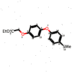 CCOC(=O)COc1ccc(Oc2ccc(SC)cc2)cc1